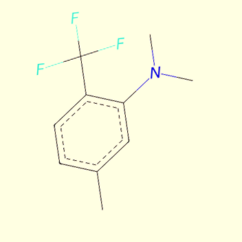 Cc1ccc(C(F)(F)F)c(N(C)C)c1